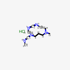 CC(C)(C)N=C=NC(C)(C)C.CCN=C=NCCCN(C)C.Cl